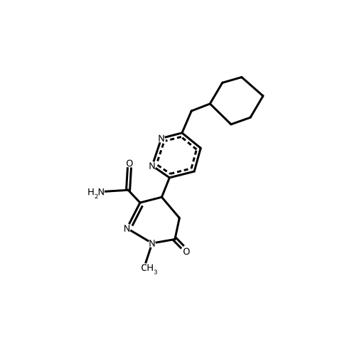 CN1N=C(C(N)=O)C(c2ccc(CC3CCCCC3)nn2)CC1=O